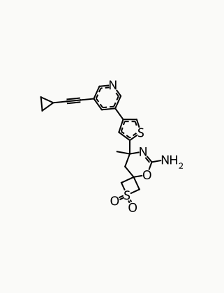 CC1(c2cc(-c3cncc(C#CC4CC4)c3)cs2)CC2(CS(=O)(=O)C2)OC(N)=N1